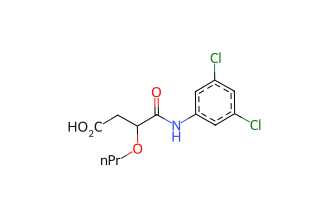 CCCOC(CC(=O)O)C(=O)Nc1cc(Cl)cc(Cl)c1